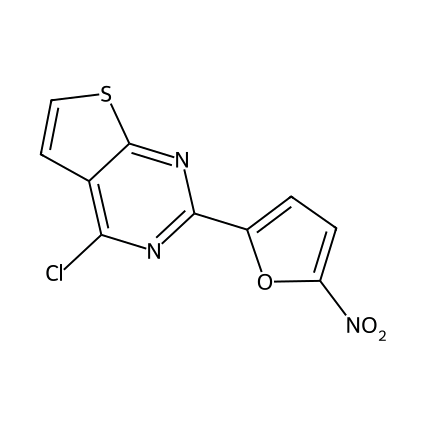 O=[N+]([O-])c1ccc(-c2nc(Cl)c3ccsc3n2)o1